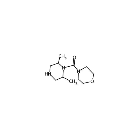 CC1CNCC(C)N1C(=O)N1CCOCC1